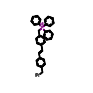 CC(C)Cc1ccc(C=Cc2ccc(C[PH](c3ccccc3)(c3ccccc3)c3ccccc3)cc2)cc1